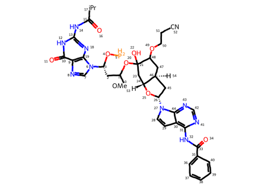 COC(C[C@@H](OP)n1cnc2c(=O)[nH]c(NC(=O)C(C)C)nc21)OC1(O)C[C@H]2O[C@@H](n3ccc4c(NC(=O)c5ccccc5)ncnc43)C[C@@H]2CC1OCCC#N